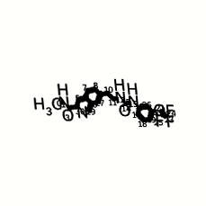 CNC(=O)c1cc2ccc(CCNC(=O)Nc3cccc(OC(F)(F)F)c3)cc2cn1